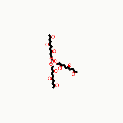 CC(=O)CCC(=O)CCC(=O)CCOB(OCCC(=O)CCC(=O)CCC(C)=O)OCCC(=O)CCC(=O)CCC(C)=O